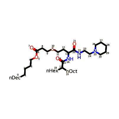 CCCCCCCCCCCCCCOC(=O)CCSCCC(NC(=O)C(CCCCCC)CCCCCCCC)C(=O)NCCN1CCCCC1